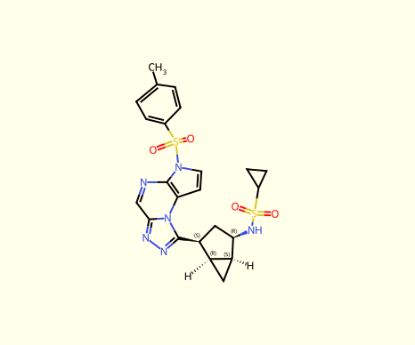 Cc1ccc(S(=O)(=O)n2ccc3c2ncc2nnc([C@H]4C[C@@H](NS(=O)(=O)C5CC5)[C@H]5C[C@H]54)n23)cc1